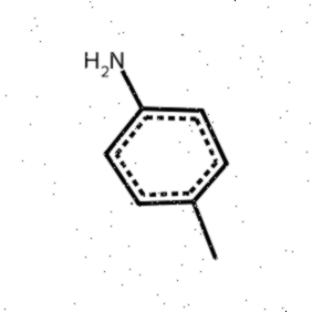 Cc1[c]cc(N)cc1